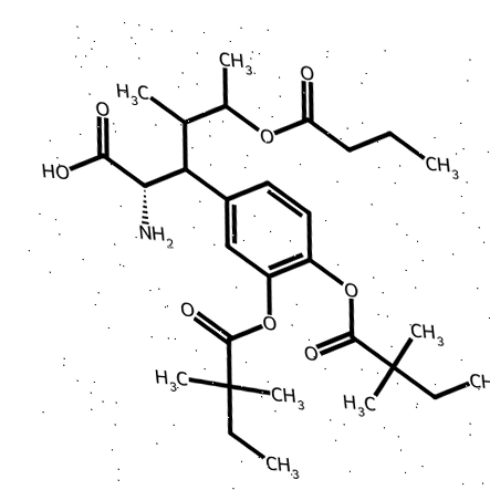 CCCC(=O)OC(C)C(C)C(c1ccc(OC(=O)C(C)(C)CC)c(OC(=O)C(C)(C)CC)c1)[C@H](N)C(=O)O